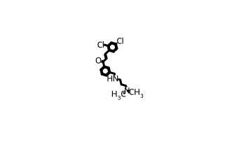 CN(C)CCCNCc1cccc(C(=O)C=Cc2ccc(Cl)cc2Cl)c1